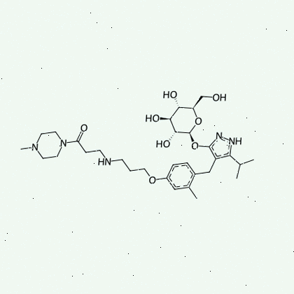 Cc1cc(OCCCNCCC(=O)N2CCN(C)CC2)ccc1Cc1c(O[C@@H]2O[C@H](CO)[C@@H](O)[C@H](O)[C@H]2O)n[nH]c1C(C)C